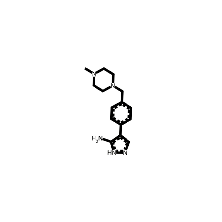 CN1CCN(Cc2ccc(-c3cn[nH]c3N)cc2)CC1